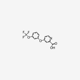 O=C(O)c1cc(Oc2cccc(OC(F)(F)F)c2)ccn1